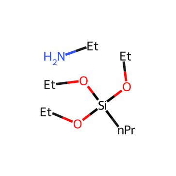 CCC[Si](OCC)(OCC)OCC.CCN